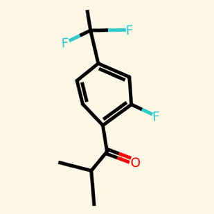 CC(C)C(=O)c1ccc(C(C)(F)F)cc1F